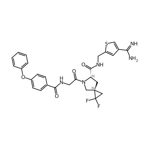 N=C(N)c1csc(CNC(=O)[C@@H]2C[C@@]3(CN2C(=O)CNC(=O)c2ccc(Oc4ccccc4)cc2)CC3(F)F)c1